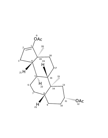 CC(=O)OC1=CC[C@H]2[C@@H]3CC[C@H]4CC[C@@H](OC(C)=O)C[C@]4(C)[C@H]3CC[C@]12C